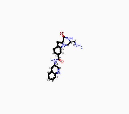 NC[C@H]1Cn2c(cc3ccc(C(=O)Nc4cnc5ccccc5c4)cc32)C(=O)N1